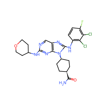 NC(=O)[C@H]1CC[C@@H](n2c(Nc3ccc(F)c(Cl)c3Cl)nc3cnc(NC4CCOCC4)nc32)CC1